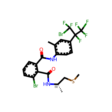 CSC[C@H](C)NC(=O)c1c(Br)cccc1C(=O)Nc1ccc(C(F)(C(F)(F)F)C(F)(F)Br)cc1C